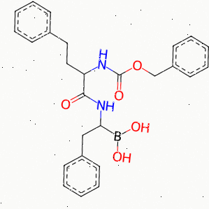 O=C(NC(CCc1ccccc1)C(=O)NC(Cc1ccccc1)B(O)O)OCc1ccccc1